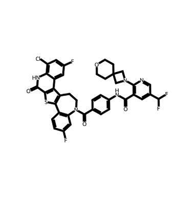 O=C(Nc1ccc(C(=O)N2CCc3c(sc4c(=O)[nH]c5c(Cl)cc(F)cc5c34)-c3ccc(F)cc32)cc1)c1cc(C(F)F)cnc1N1CC2(CCOCC2)C1